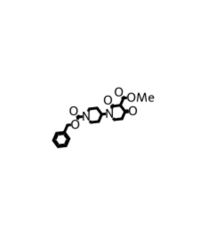 COC(=O)C1C(=O)CCN(C2CCN(C(=O)OCc3ccccc3)CC2)C1=O